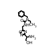 CCN(Cc1ccccc1)C(=O)NCc1nc(C(N)CO)no1